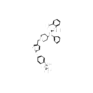 CS(=O)(=O)Nc1ccc(Oc2ccc(CN3CCC(N(C(=O)Nc4ccccc4Cl)c4ccccc4)CC3)cn2)cc1